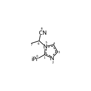 CC(C)c1nccn1C(C)C#N